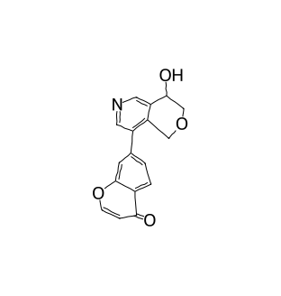 O=c1ccoc2cc(-c3cncc4c3COCC4O)ccc12